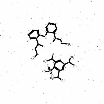 CC(C)c1cc(C(C)C)c(S(=O)(=O)[O-])c(C(C)C)c1.CCCC(F)c1ccccc1[I+]c1ccccc1C(F)CCC